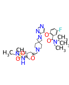 CCN(C(=O)c1cc(F)ccc1Oc1cncnc1N1CC2(CCN(C[C@@H]3CC[C@@H](NS(=O)(=O)N(C)CC)CO3)CC2)C1)C(C)C